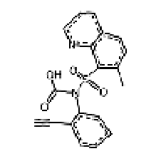 C#Cc1ccccc1N(C(=O)O)S(=O)(=O)c1c(C)ccc2cccnc12